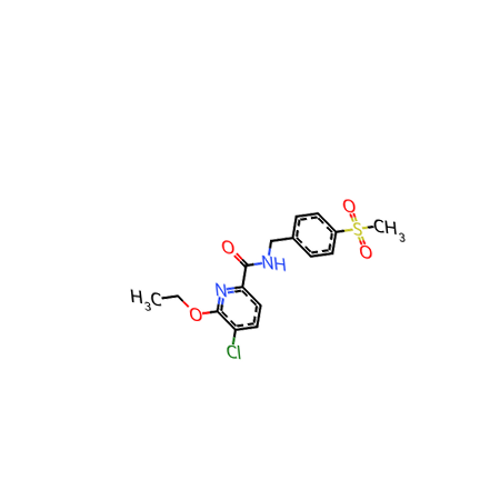 CCOc1nc(C(=O)NCc2ccc(S(C)(=O)=O)cc2)ccc1Cl